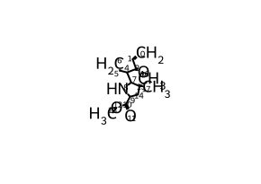 C=CC(=O)C(C=C)C1NC(C(=O)OC)CC1(C)C